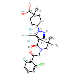 CC(C)(C)CN(CC(=O)c1c(F)cccc1Cl)C(=O)c1cnn([C@H]2CC[C@](C)(C(=O)O)CC2)c1C(F)(F)F